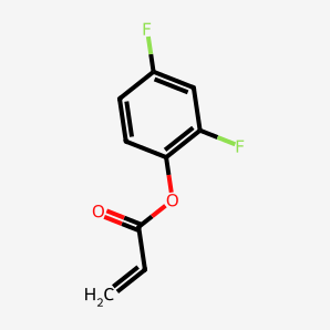 C=CC(=O)Oc1ccc(F)cc1F